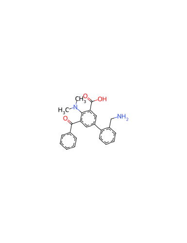 CN(C)c1c(C(=O)O)cc(-c2ccccc2CN)cc1C(=O)c1ccccc1